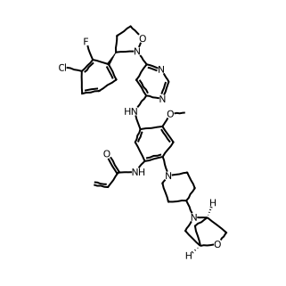 C=CC(=O)Nc1cc(Nc2cc(N3OCC[C@@H]3c3cccc(Cl)c3F)ncn2)c(OC)cc1N1CCC(N2C[C@H]3C[C@@H]2CO3)CC1